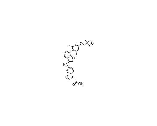 Cc1cc(OCC2(C)COC2)cc(C)c1-c1cccc2c1OC[C@H]2Nc1ccc2c(c1)OC[C@H]2CC(=O)O